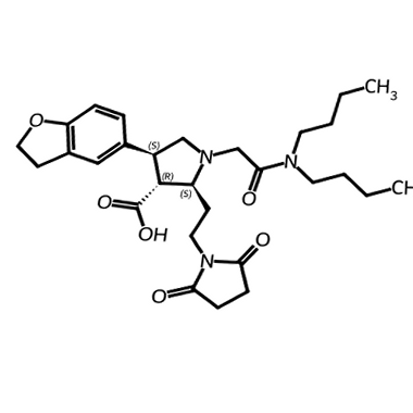 CCCCN(CCCC)C(=O)CN1C[C@H](c2ccc3c(c2)CCO3)[C@@H](C(=O)O)[C@@H]1CCN1C(=O)CCC1=O